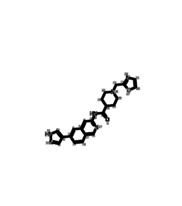 O=C(Nc1cc2cc(-c3cn[nH]c3)ccc2cn1)C1CCN(Cc2ncco2)CC1